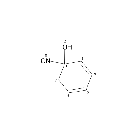 O=NC1(O)C=CC=CC1